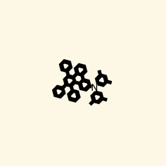 Cc1cc(C)cc(N(c2cc(C)cc(C)c2)c2ccc3c(c2)c2ccccc2c2c(-c4ccccc4)cc(-c4ccccc4)c(-c4ccccc4)c32)c1